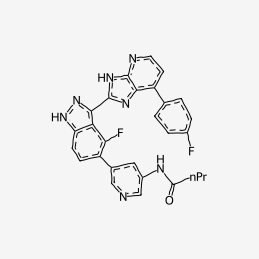 CCCC(=O)Nc1cncc(-c2ccc3[nH]nc(-c4nc5c(-c6ccc(F)cc6)ccnc5[nH]4)c3c2F)c1